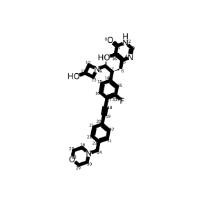 O=c1[nH]cnc(C[C@@H](CN2CC(O)C2)c2ccc(C#Cc3ccc(CN4CCOCC4)cc3)c(F)c2)c1O